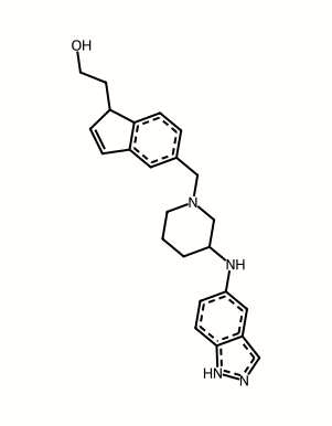 OCCC1C=Cc2cc(CN3CCCC(Nc4ccc5[nH]ncc5c4)C3)ccc21